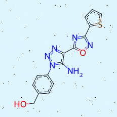 Nc1c(-c2nc(-c3cccs3)no2)nnn1-c1ccc(CO)cc1